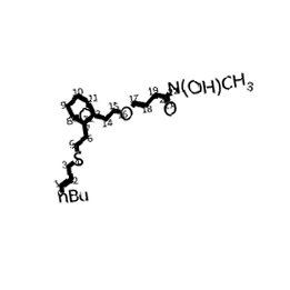 CCCCC=CCSCCC1C2CCC(O2)C1CCOCCCC(=O)N(C)O